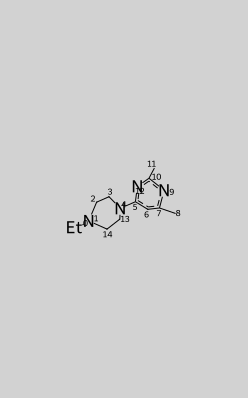 CCN1CCN(c2cc(C)nc(C)n2)CC1